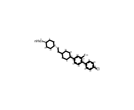 CCCCCC[C@H]1CC[C@H](CCC2CCC(c3ccc(-c4ccc(Cl)cc4)c(F)c3)CC2)CC1